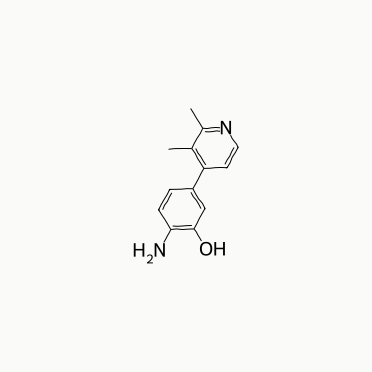 Cc1nccc(-c2ccc(N)c(O)c2)c1C